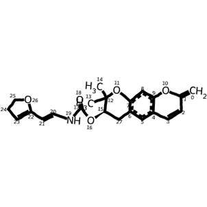 C=C1C=Cc2cc3c(cc2O1)OC(C)(C)[C@H](OC(=O)N/C=C/C1=CCCO1)C3